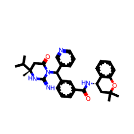 CC(C)[C@]1(C)CC(=O)N(C(c2cccnc2)c2cccc(C(=O)N[C@H]3CC(C)(C)Oc4ccccc43)c2)C(=N)N1